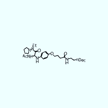 CCCCCCCCCCCCNC(=O)CCCOc1ccc(NC(NC(C)=O)C(=O)N(CC)N2CCCC2)cc1